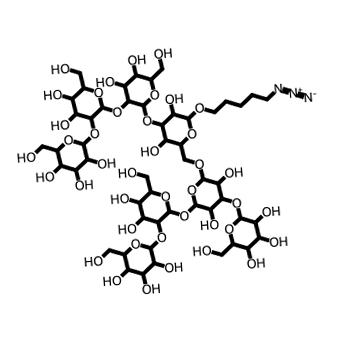 [N-]=[N+]=NCCCCCOC1OC(COC2OC(OC3OC(CO)C(O)C(O)C3OC3OC(CO)C(O)C(O)C3O)C(O)C(OC3OC(CO)C(O)C(O)C3O)C2O)C(O)C(OC2OC(CO)C(O)C(O)C2OC2OC(CO)C(O)C(O)C2OC2OC(CO)C(O)C(O)C2O)C1O